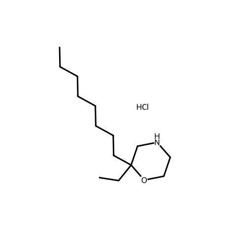 CCCCCCCCC1(CC)CNCCO1.Cl